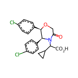 O=C(O)C(C1CC1)N1C(=O)CO[C@H](c2ccc(Cl)cc2)[C@@H]1c1ccc(Cl)cc1